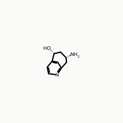 N[C@@H]1Cc2cc(ccn2)[C@H](O)C1